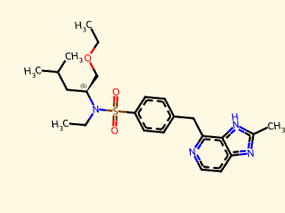 CCOC[C@H](CC(C)C)N(CC)S(=O)(=O)c1ccc(Cc2nccc3nc(C)[nH]c23)cc1